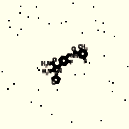 Cc1ccc(F)cc1C(=O)NCc1ccc(-c2nn(C3CCOC3)c(N)c2C(N)=O)cc1F